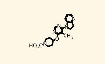 Cc1c(OC2CCN(C(=O)O)CC2)ncnc1N1CCc2ncccc21